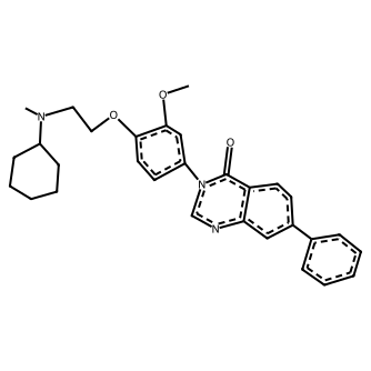 COc1cc(-n2cnc3cc(-c4ccccc4)ccc3c2=O)ccc1OCCN(C)C1CCCCC1